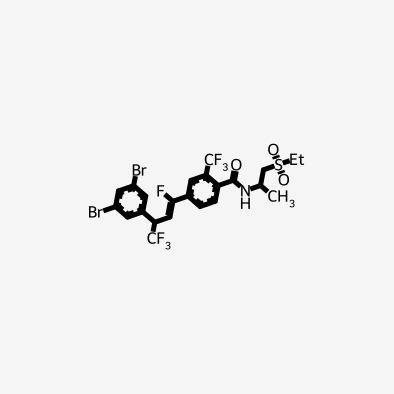 CCS(=O)(=O)CC(C)NC(=O)c1ccc(/C(F)=C/C(c2cc(Br)cc(Br)c2)C(F)(F)F)cc1C(F)(F)F